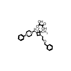 CC1(C)[C@@H](CCOCc2ccccc2)C[C@H]1CN1CCN(c2ccccc2)CC1.O=C(O)C(=O)O